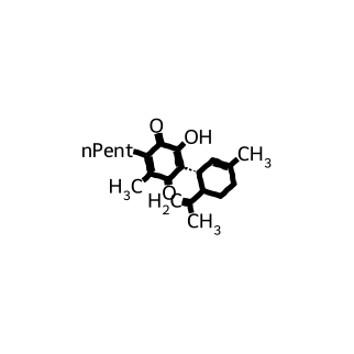 C=C(C)C1CCC(C)=C[C@H]1C1=C(O)C(=O)C(CCCCC)=C(C)C1=O